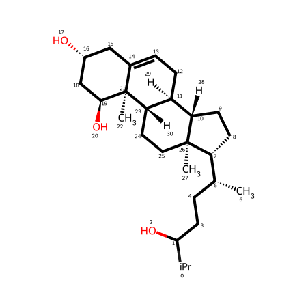 CC(C)C(O)CC[C@@H](C)[C@H]1CC[C@H]2[C@@H]3CC=C4C[C@@H](O)C[C@H](O)[C@]4(C)[C@H]3CC[C@]12C